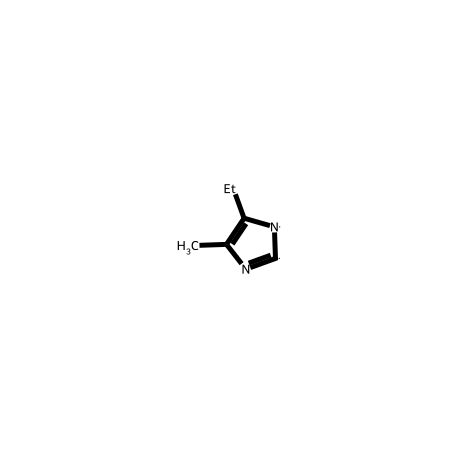 CCC1=C(C)N=[C][N]1